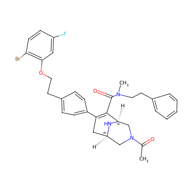 CC(=O)N1C[C@H]2CC(c3ccc(CCOc4cc(F)ccc4Br)cc3)=C(C(=O)N(C)CCc3ccccc3)[C@@H](C1)N2